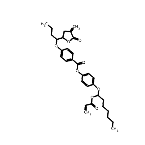 C=CC(=O)OC(CCCCCC)Oc1ccc(OC(=O)c2ccc(OC(CCC)C3CC(=C)C(=O)O3)cc2)cc1